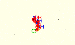 O=C(NC[C@@H]1CCCN1C(=O)CN1CCC[C@H](NS(=O)(=O)c2cc3cc(Cl)ccc3s2)C1=O)c1cc(O)nc2ccccc12